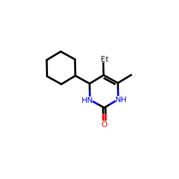 [CH2]CC1=C(C)NC(=O)NC1C1CCCCC1